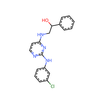 OC(CNc1ccnc(Nc2cccc(Cl)c2)n1)c1ccccc1